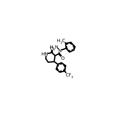 Cc1ccccc1N(N)C(=O)C1C(=O)NCCC1c1ccc(C(F)(F)F)cc1